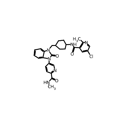 CNC(=O)c1ccc(-n2c(=O)n(CC3CCC(NC(=O)c4cc(Cl)cnc4C)CC3)c3ccccc32)cn1